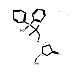 CC(=O)OC[C@H]1CC(=O)C[C@H]1CCC(C)(C)[Si](O)(c1ccccc1)c1ccccc1